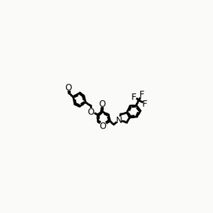 O=Cc1ccc(COc2coc(CN3Cc4ccc(C(F)(F)F)cc4C3)cc2=O)cc1